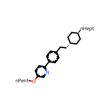 CCCCCCC[C@H]1CC[C@H](CCc2ccc(-c3ccc(OCCCCC)cn3)cc2)CC1